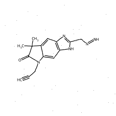 C#CCN1C(=O)C(C)(C)c2cc3nc(CN=N)[nH]c3cc21